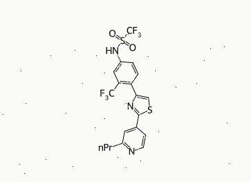 CCCc1cc(-c2nc(-c3ccc(NS(=O)(=O)C(F)(F)F)cc3C(F)(F)F)cs2)ccn1